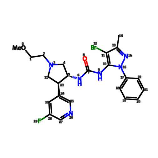 COCCN1C[C@H](NC(=O)Nc2c(Br)c(C)nn2-c2ccccc2)[C@@H](c2cncc(F)c2)C1